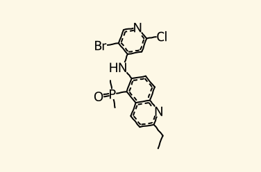 CCc1ccc2c(P(C)(C)=O)c(Nc3cc(Cl)ncc3Br)ccc2n1